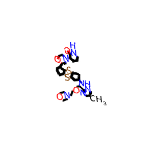 Cc1cnc(C(COCCN2CCOCC2)Nc2ccc3c(c2)Sc2cccc(C4CN(c5ccc[nH]c5=O)CCO4)c2S3)nc1